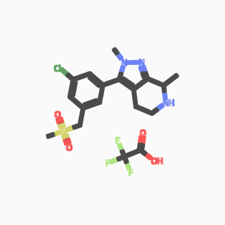 CC1NCCc2c1nn(C)c2-c1cc(Cl)cc(CS(C)(=O)=O)c1.O=C(O)C(F)(F)F